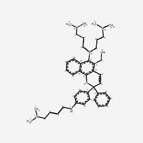 CN(C)CCCCNc1ccc(C2(c3ccccc3)C=Cc3c(CO)c(N(CCCN(C)C)CCCN(C)C)c4ccccc4c3O2)cc1